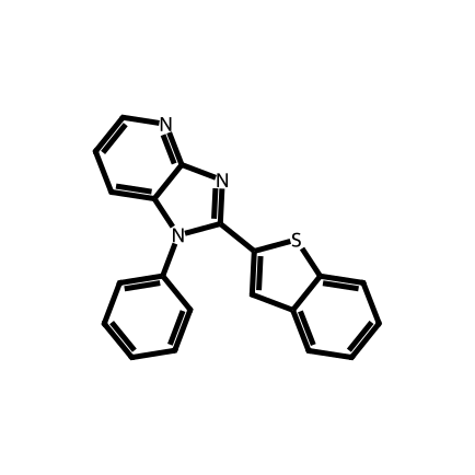 c1ccc(-n2c(-c3cc4ccccc4s3)nc3ncccc32)cc1